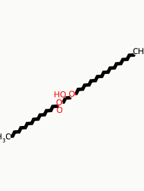 CCCCCCCCCCCCCCCCCCCCOCC(O)COC(=O)CCCCCCCCCCCCCCC